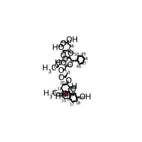 CC(=O)O[C@@H](CC(=O)OC1=CC[C@@]2(O)[C@H]3Cc4ccc(O)c5c4C2(CCN3C)[C@H]1O5)C(O)O[C@H](C(=O)O[C@H](CC(=O)O)C(=O)O)c1ccccc1